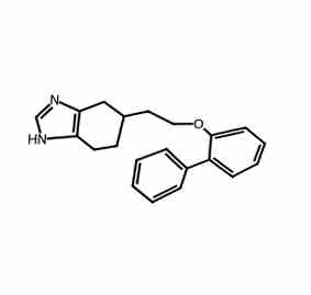 c1ccc(-c2ccccc2OCCC2CCc3[nH]cnc3C2)cc1